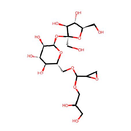 OCC(O)COC(OC[C@H]1O[C@H](O[C@]2(CO)O[C@H](CO)[C@@H](O)[C@@H]2O)[C@H](O)[C@@H](O)[C@@H]1O)C1CO1